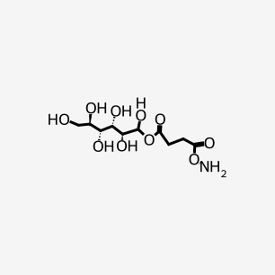 NOC(=O)CCC(=O)OC(O)[C@H](O)[C@@H](O)[C@H](O)[C@H](O)CO